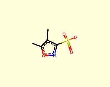 Cc1onc(S([O])(=O)=O)c1C